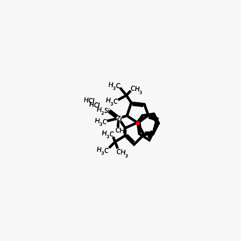 CC(C)(C)C1=Cc2ccccc2[CH]1[Zr]([CH3])([CH3])(=[SiH2])[CH]1C(C(C)(C)C)=Cc2ccccc21.Cl.Cl